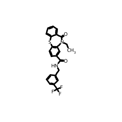 CCN1C(=O)c2ccccc2Sc2ccc(C(=O)NCc3cccc(C(F)(F)F)c3)cc21